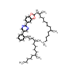 CCCCCC(C)CCCCCCC(C)[SiH2]C1Oc2ccc(-c3ncc(-c4ccccc4[SiH2]CCC(C)CCCCC(C)CCCCC)cn3)cc2O1